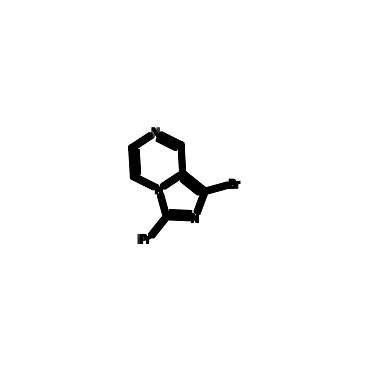 CC(C)c1nc(Br)c2cnccn12